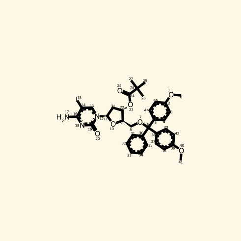 COc1ccc(C(OC[C@H]2O[C@@H](n3cc(I)c(N)nc3=O)C[C@@H]2OC(=O)C(C)(C)C)(c2ccccc2)c2ccc(OC)cc2)cc1